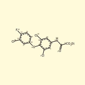 CCOC(=O)C(=O)Nc1cc(Cl)c(Oc2ccc(F)c(Cl)c2)c(Cl)c1